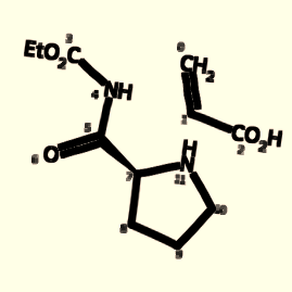 C=CC(=O)O.CCOC(=O)NC(=O)[C@@H]1CCCN1